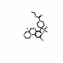 CCOC(=O)N1CCC(c2nc(Cl)nc3c2OC[C@@H]2COCCN32)(S(C)(=O)=O)CC1